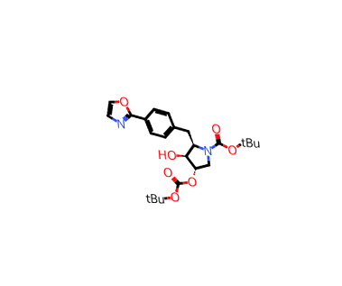 CC(C)(C)OC(=O)O[C@H]1CN(C(=O)OC(C)(C)C)[C@H](Cc2ccc(-c3ncco3)cc2)[C@@H]1O